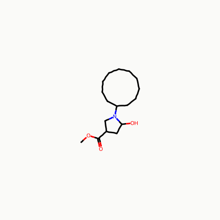 COC(=O)C1CC(O)N(C2CCCCCCCCCC2)C1